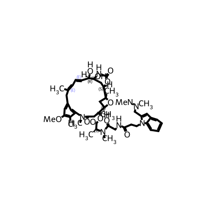 CNN(C)Cc1cc2ccccc2n1CCC(=O)NCC(=O)N(C)[C@@H](C)C(=O)O[C@H]1CC(=O)N(C)c2cc(cc(OC)c2Cl)C/C(C)=C/C=C/[C@@H](O)[C@@]2(O)C[C@H](OC(=O)N2)C2(C)C[C@@]1(C)O2